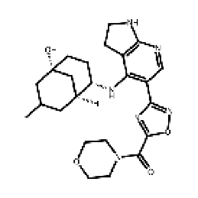 CC1C[C@H]2C[C@](O)(CC[C@@H]2Nc2c(-c3noc(C(=O)N4CCOCC4)n3)cnc3c2CCN3)C1